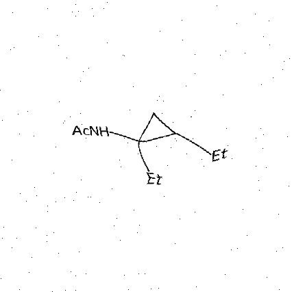 CCC1CC1(CC)NC(C)=O